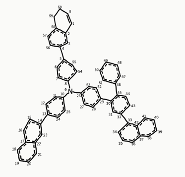 C1=Cc2cc(-c3ccc(N(c4ccc(-c5ccc6ccccc6c5)cc4)c4ccc(-c5cc(-c6cccc7ccccc67)ccc5-c5ccccc5)cc4)cc3)ccc2CC1